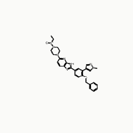 CC[S+]([O-])N1CCN(c2ccc3nc(-c4ccc(OCc5ccccc5)c(-c5cnn(C)c5)c4)[nH]c3n2)CC1